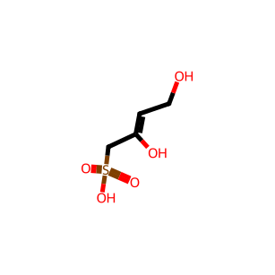 O=S(=O)(O)C/C(O)=C/CO